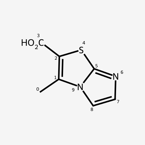 Cc1c(C(=O)O)sc2nccn12